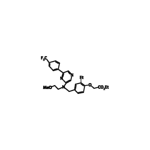 CCOC(=O)COc1ccc(CN(CCOC)c2cncc(-c3ccc(C(F)(F)F)cc3)n2)cc1CC